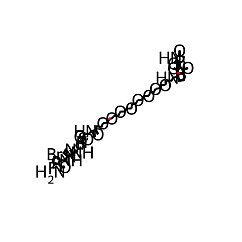 NC(=O)c1c(F)cccc1Nc1nc(NC2CCN(S(=O)(=O)CCNC(=O)CCOCCOCCOCCOCCOCCOCCOCCOCCNc3cccc4c3C(=O)N(C3CCC(=O)NC3=O)C4=O)CC2)ncc1Br